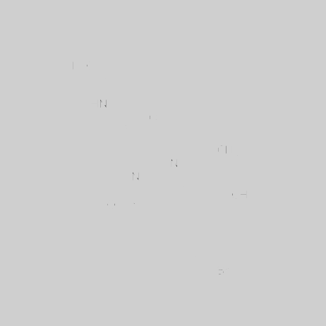 CC(C)c1nn(CC(=O)NC(C)C2CCC2)c(=O)c2ccc(Br)cc12